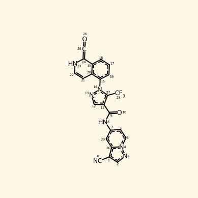 N#Cc1cnn2ccc(NC(=O)c3cnn(-c4cccc5c4C=CNC5=C=O)c3C(F)(F)F)cc12